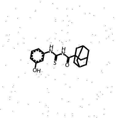 O=C(NC(=S)Nc1cccc(O)c1)C12CC3CC(CC(C3)C1)C2